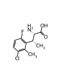 Cc1c(Cl)ccc(F)c1[C@@H](C)[C@H](N)C(=O)O